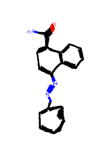 NC(=O)c1ccc(N=Nc2ccccc2)c2ccccc12